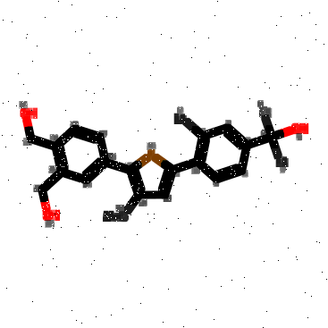 CCc1cc(C(O)(CC)CC)ccc1-c1cc(OC)c(-c2ccc(CO)c(CO)c2)s1